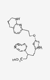 O=C(O)CC(Cc1cc(OCCc2ccc3c(n2)NCCC3)n[nH]1)c1cccnc1